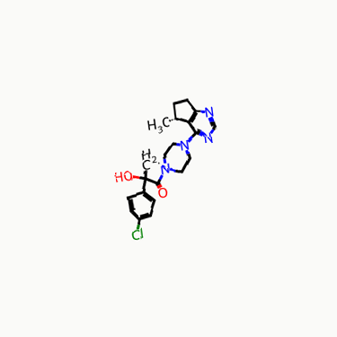 [CH2]C(O)(C(=O)N1CCN(c2ncnc3c2[C@H](C)CC3)CC1)c1ccc(Cl)cc1